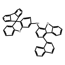 c1ccc2c(c1)Oc1cc(Nc3ccc(-c4cccc5ccccc45)c4c3oc3ccccc34)ccc1C21c2ccccc2-c2ccccc21